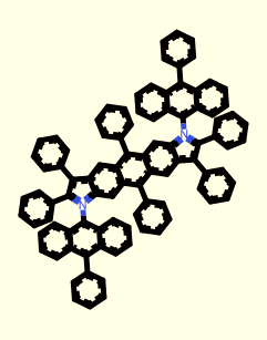 c1ccc(-c2c3cc4c(-c5ccccc5)c(-c5ccccc5)n(-c5c6ccccc6c(-c6ccccc6)c6ccccc56)c4cc3c(-c3ccccc3)c3cc4c(-c5ccccc5)c(-c5ccccc5)n(-c5c6ccccc6c(-c6ccccc6)c6ccccc56)c4cc23)cc1